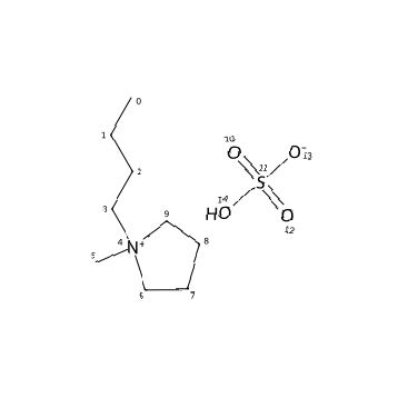 CCCC[N+]1(C)CCCC1.O=S(=O)([O-])O